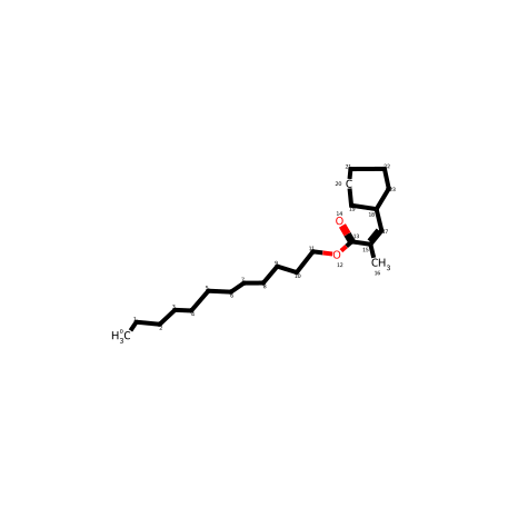 CCCCCCCCCCCCOC(=O)C(C)=CC1CCCCC1